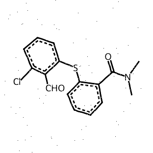 CN(C)C(=O)c1ccccc1Sc1cccc(Cl)c1C=O